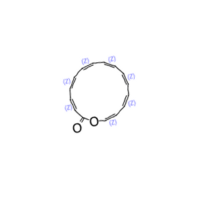 O=C1\C=C/C=C\C=C/C=C\C=C/C=C\C=C/O1